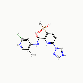 CCS(=O)(=O)c1ccc(-n2cncn2)nc1C(=O)Nc1cc(Br)ncc1NC